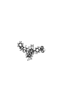 C=CCOC(=O)[C@@H](Cc1csc2ccccc12)C[C@@H](CO[Si](C)(C)C(C)(C)C)NC(=O)c1ccc([N+](=O)[O-])cc1